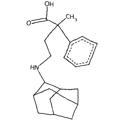 CC(CCNC1C2CC3CC(C2)CC1C3)(C(=O)O)c1ccccc1